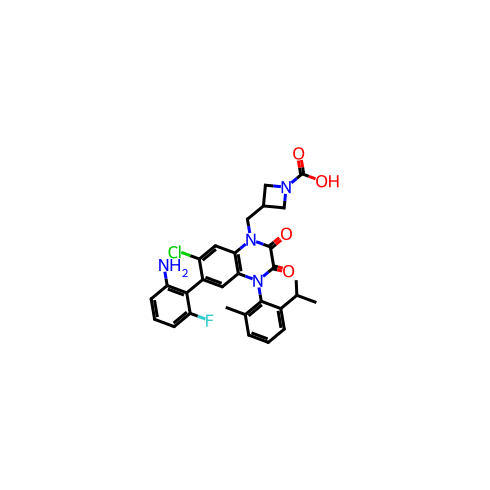 Cc1cccc(C(C)C)c1-n1c(=O)c(=O)n(CC2CN(C(=O)O)C2)c2cc(Cl)c(-c3c(N)cccc3F)cc21